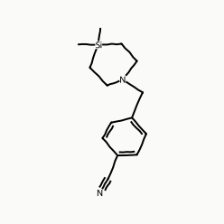 C[Si]1(C)CCN(Cc2ccc(C#N)cc2)CC1